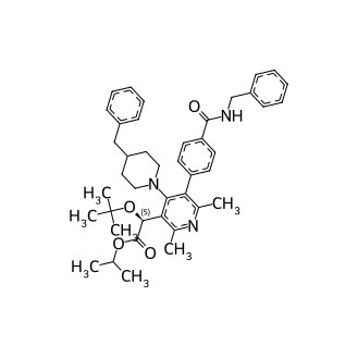 Cc1nc(C)c([C@H](OC(C)(C)C)C(=O)OC(C)C)c(N2CCC(Cc3ccccc3)CC2)c1-c1ccc(C(=O)NCc2ccccc2)cc1